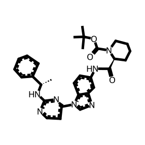 C[C@H](Nc1nccc(-n2cnc3cc(NC(=O)[C@@H]4CCCCN4C(=O)OC(C)(C)C)ccc32)n1)c1ccccc1